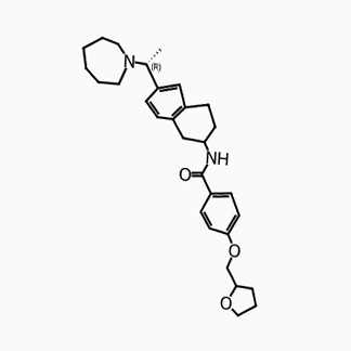 C[C@H](c1ccc2c(c1)CCC(NC(=O)c1ccc(OCC3CCCO3)cc1)C2)N1CCCCCC1